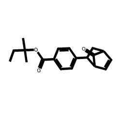 CCC(C)(C)OC(=O)c1ccc(C2CC3C=CC2C3=O)cc1